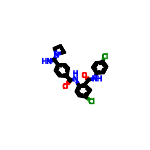 N=C(c1ccc(C(=O)Nc2ccc(Cl)cc2C(=O)Nc2ccc(Cl)cc2)cc1)N1CCC1